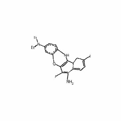 CCN(CC)c1ccc2c(c1)OC1=C(N2)C2CC(I)=CC=C2C(N)=C1I